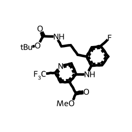 COC(=O)c1cc(C(F)(F)F)ncc1Nc1ccc(F)cc1CCCNC(=O)OC(C)(C)C